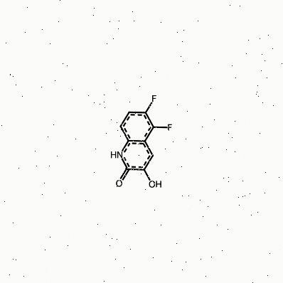 O=c1[nH]c2ccc(F)c(F)c2cc1O